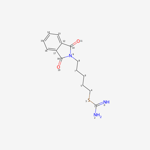 N=C(N)SCCCCCN1C(=O)c2ccccc2C1=O